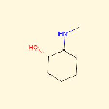 CNC1CCCC[C@@H]1O